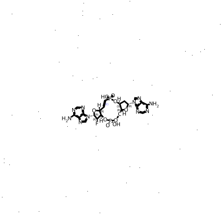 Nc1ncnc2c1ncn2[C@@H]1O[C@@H]2/C=C/P(=O)(O)O[C@H]3C[C@H](n4cnc5c(N)ncnc54)O[C@@H]3COP(=O)(O)O[C@H]2[C@H]1F